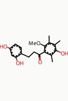 COc1c(C)c(C)c(O)c(C)c1C(=O)CCc1ccc(O)cc1O